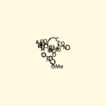 COc1ccc2c(O[C@@H]3C[C@H]4C(=O)N[C@@](C)(C(=O)NS(=O)(=O)C5CC5)CC=CCCCCC[C@H](CC(=O)N5CCCCC5)C(=O)N4C3)cc(-c3ccccc3)nc2c1